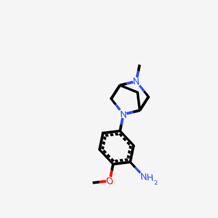 COc1ccc(N2CC3CC2CN3C)cc1N